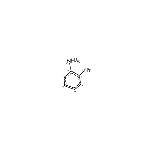 C[CH]Cc1ccccc1NC(C)=O